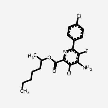 CCCCCC(C)OC(=O)c1nc(-c2ccc(Cl)cc2)c(F)c(N)c1Cl